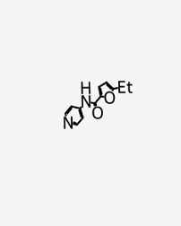 CCc1ccc(C(=O)Nc2ccncc2)o1